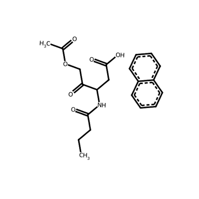 CCCC(=O)NC(CC(=O)O)C(=O)COC(C)=O.c1ccc2ccccc2c1